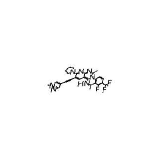 Cc1nc(N[C@H](C)c2cccc(C(F)F)c2F)c2cc(C#Cc3cnn(C)c3)c(N3CCCC3)nc2n1